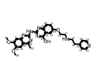 COc1cc2nc(Nc3nc(O)c4cc(OCCNCCc5ccncc5)ccc4n3)nc(C)c2cc1OC